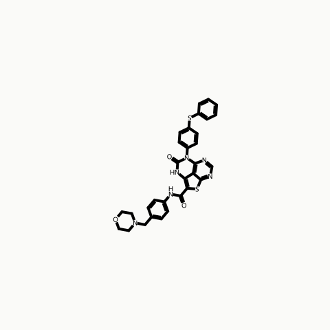 O=C(Nc1ccc(CN2CCOCC2)cc1)c1sc2ncnc3c2c1NC(=O)N3c1ccc(Sc2ccccc2)cc1